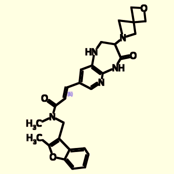 Cc1oc2ccccc2c1CN(C)C(=O)/C=C/c1cnc2c(c1)NCC(N1CC3(COC3)C1)C(=O)N2